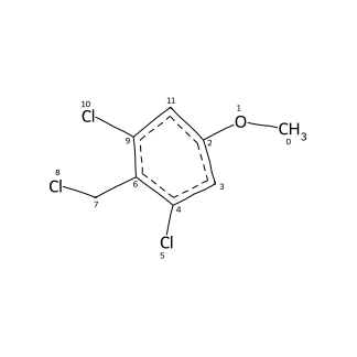 COc1cc(Cl)c(CCl)c(Cl)c1